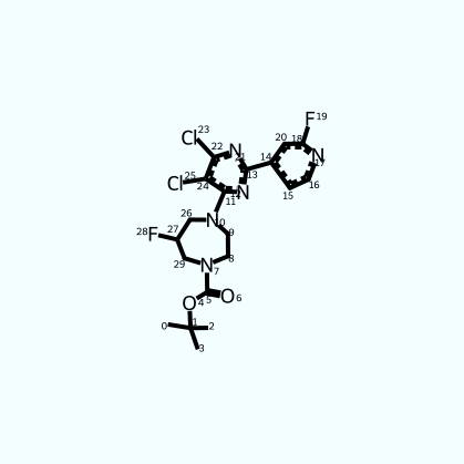 CC(C)(C)OC(=O)N1CCN(c2nc(-c3ccnc(F)c3)nc(Cl)c2Cl)CC(F)C1